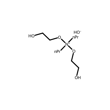 CCC[N+](CCC)(OCCO)OCCO.[OH-]